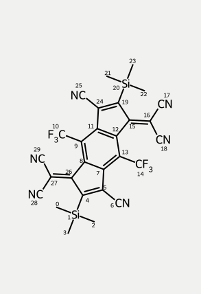 C[Si](C)(C)C1=C(C#N)c2c(c(C(F)(F)F)c3c(c2C(F)(F)F)C(=C(C#N)C#N)C([Si](C)(C)C)=C3C#N)C1=C(C#N)C#N